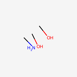 CN.CO.CO